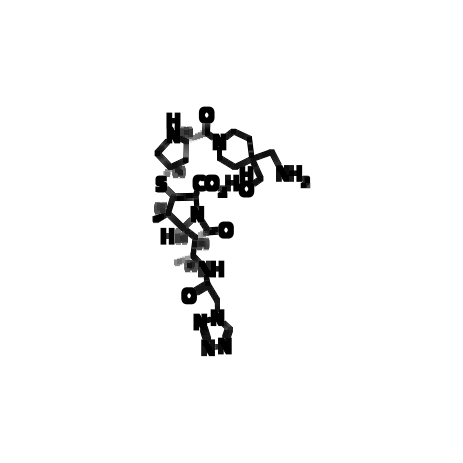 C[C@@H](NC(=O)Cn1cnnn1)[C@H]1C(=O)N2C(C(=O)O)=C(S[C@@H]3CN[C@H](C(=O)N4CCC(CN)(CO)CC4)C3)[C@H](C)[C@H]12